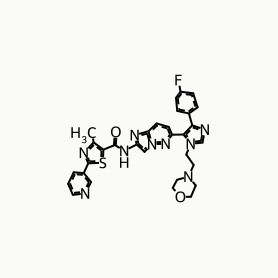 Cc1nc(-c2cccnc2)sc1C(=O)Nc1cn2nc(-c3c(-c4ccc(F)cc4)ncn3CCN3CCOCC3)ccc2n1